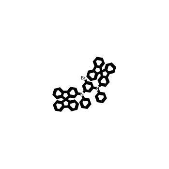 Brc1cc(N(c2ccccc2)c2ccc3c(c2)C2(c4ccccc4-c4ccccc42)c2ccccc2-3)cc(N(c2ccccc2)c2ccc3c(c2)C2(c4ccccc4-c4ccccc42)c2ccccc2-3)c1